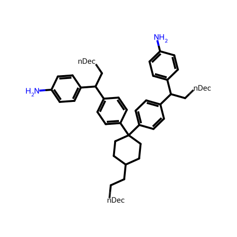 CCCCCCCCCCCCC1CCC(c2ccc(C(CCCCCCCCCCC)c3ccc(N)cc3)cc2)(c2ccc(C(CCCCCCCCCCC)c3ccc(N)cc3)cc2)CC1